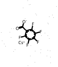 O=C([O-])c1c(F)c(F)c(F)c(F)c1F.[Cs+]